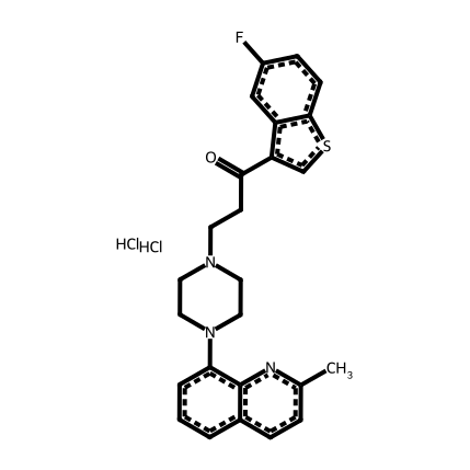 Cc1ccc2cccc(N3CCN(CCC(=O)c4csc5ccc(F)cc45)CC3)c2n1.Cl.Cl